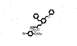 COc1ccc(Br)cc1S(=O)(=O)NC(=O)C=Cc1ccc(COc2ccccc2)cc1Cc1ccccc1